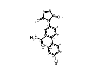 C=C(C)c1cc(N2C(=O)C=CC2=O)ccc1-c1ccc(Cl)cc1